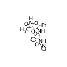 CC(C)CC(NC(=O)C[C@H](NC(=O)c1ccccn1)c1ccccc1)C(=O)[C@@H]1C(=O)NC(=O)[C@H]1C